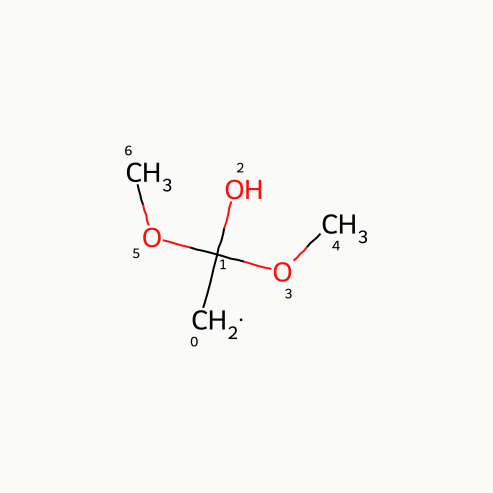 [CH2]C(O)(OC)OC